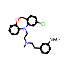 CNc1cccc(CCN(C)CCN2c3cc(Cl)ccc3COc3ccccc32)c1